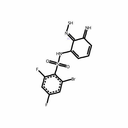 N=C1C=CC=C(NS(=O)(=O)c2c(F)cc(F)cc2Br)/C1=N/S